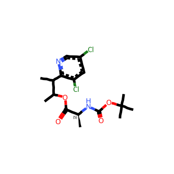 CC(OC(=O)[C@H](C)NC(=O)OC(C)(C)C)C(C)c1ncc(Cl)cc1Cl